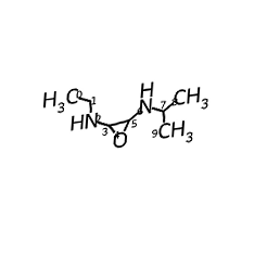 CCNC1OC1NC(C)C